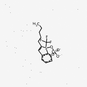 CCCCCC1=Cc2ccccc2S1(O[Cl+3]([O-])([O-])[O-])C(F)(F)F